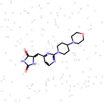 O=C1NC(=O)/C(=C/c2ccnc(N3CCC(N4CCOCC4)CC3)n2)N1